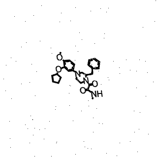 CNC(=O)C(=O)N1CCN(c2ccc(OC)c(OC3CCCC3)c2)CC1Cc1ccccc1